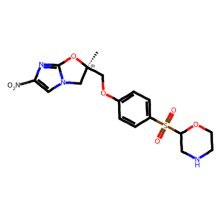 C[C@]1(COc2ccc(S(=O)(=O)C3CNCCO3)cc2)Cn2cc([N+](=O)[O-])nc2O1